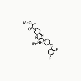 COC(C)C(=O)N1CCc2nc(N3CCC(Oc4ccc(F)cc4F)CC3)c(NC(C)C)nc2C1